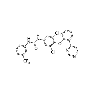 O=C(Nc1cccc(C(F)(F)F)c1)Nc1cc(Cl)c(Oc2ncccc2-c2ccncn2)c(Cl)c1